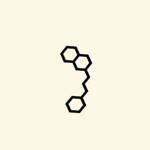 C1CCC(CCCC2CCC3CCCCC3C2)CC1